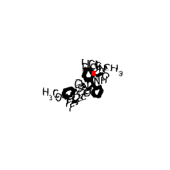 COc1ccc(S(=O)(=O)N2C(=O)C(N[C@@H](CO)C(=O)N(C)C)(c3ccccc3OC)c3cc(Cl)ccc32)c(OC(F)(F)F)c1